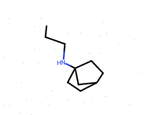 CCCNC12CCC(CC1)C2